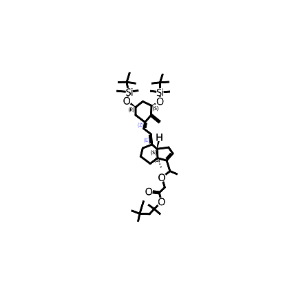 C=C1/C(=C\C=C2/CCC[C@]3(C)C(C(C)OCC(=O)OC(C)(C)CC(C)(C)C)=CC[C@@H]23)C[C@@H](O[Si](C)(C)C(C)(C)C)C[C@@H]1O[Si](C)(C)C(C)(C)C